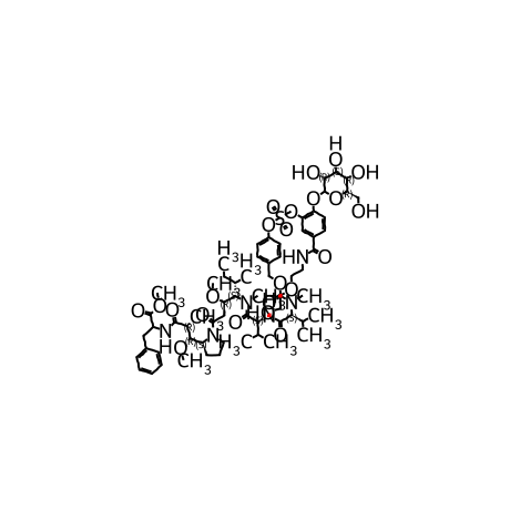 CCC(C)[C@@H]([C@@H](CC(=O)N1CCC[C@H]1[C@H](OC)[C@@H](C)C(=O)NC(Cc1ccccc1)C(=O)OC)OC)N(C)C(=O)[C@@H](NC(=O)[C@H](C(C)C)N(C)C(=O)OCc1ccc(OS(=O)(=O)Oc2cc(C(=O)NCCOCCO)ccc2OC2O[C@H](CO)[C@H](O)[C@H](O)[C@H]2O)cc1)C(C)C